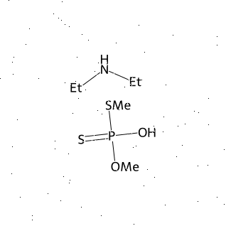 CCNCC.COP(O)(=S)SC